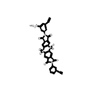 C#Cc1cccc(N2C(=O)c3cc4c(cc3C2=O)S(=O)(=O)c2cc3c(cc2S4(=O)=O)C(=O)N(c2cc(C#C)cc(C(=O)O)c2)C3=O)c1